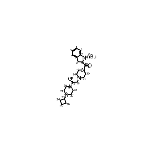 CCCCN1c2ccccc2CC1C(=O)N1CCN(CC(=O)N2CCN(C3CCC3)CC2)CC1